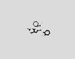 OC1NC(n2nnc3ccccc32)c2cc3cnc(Cl)nc3n2C12CCCCC2